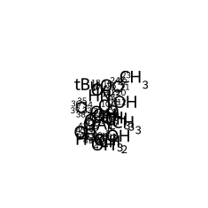 C=C1[C@H](O)C2=C(C)[C@@H](OC(=O)[C@H](O)[C@@H](NC(=O)OC(C)(C)C)c3ccc(C)cc3)C[C@@](O)([C@@H](OC(=O)c3ccccc3)[C@@H]3[C@]4(OC(C)=O)CO[C@@H]4C[C@H](O)[C@@]13C)C2(C)C